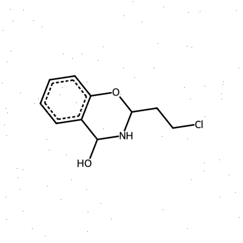 OC1NC(CCCl)Oc2ccccc21